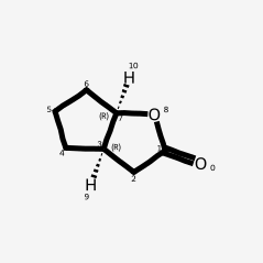 O=C1C[C@H]2CCC[C@H]2O1